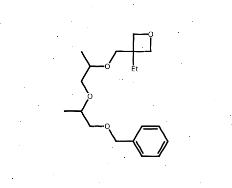 CCC1(COC(C)COC(C)COCc2ccccc2)COC1